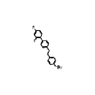 CCCCc1ccc(CCc2ccc(-c3ccc(F)cc3F)cc2)cc1